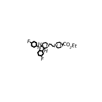 CCOC(=O)N1CCN(CCN2CC[C@@H]3[C@@H](C2)c2cc(F)ccc2N3c2ccc(F)cc2)CC1